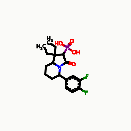 CCC1(CC)C2CCCC(c3ccc(F)c(F)c3)N2C(=O)C1P(=O)(O)O